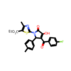 CCOC(=O)c1sc(N2C(=O)C(O)=C(C(=O)c3ccc(F)cc3)C2c2ccc(C)cc2)nc1C